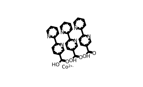 O=C(O)c1ccc(-c2ccccn2)nc1.O=C(O)c1ccc(-c2ccccn2)nc1.O=C(O)c1ccc(-c2ccccn2)nc1.[Co+2]